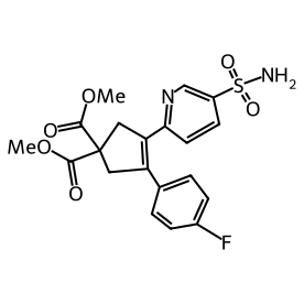 COC(=O)C1(C(=O)OC)CC(c2ccc(F)cc2)=C(c2ccc(S(N)(=O)=O)cn2)C1